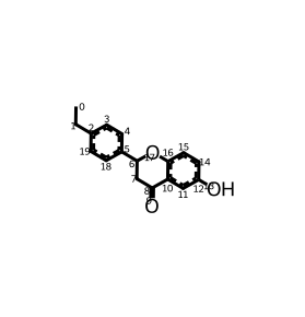 CCc1ccc(C2CC(=O)c3cc(O)ccc3O2)cc1